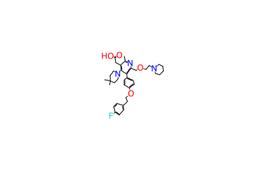 Cc1nc(COCCN2CCCCC2)c(-c2ccc(OCCc3ccc(F)cc3)cc2)c(N2CCC(C)(C)CC2)c1CC(=O)O